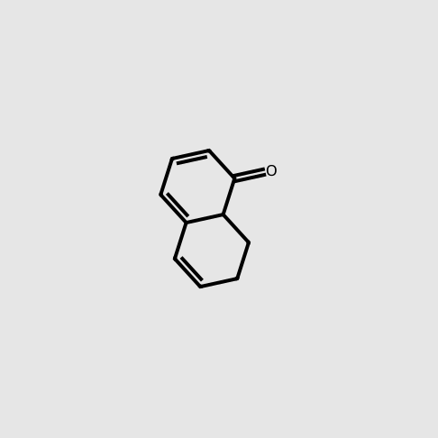 O=C1C=CC=C2C=CCCC12